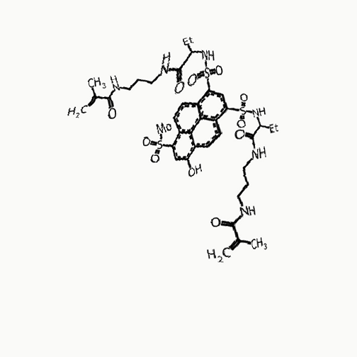 C=C(C)C(=O)NCCCNC(=O)C(CC)NS(=O)(=O)c1cc(S(=O)(=O)NC(CC)C(=O)NCCCNC(=O)C(=C)C)c2ccc3c([S](=O)(=O)[Mo])cc(O)c4ccc1c2c43